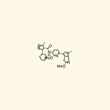 COc1cc2c(-c3ccc(NC(=O)c4c(-c5ccccc5)noc4C)c(OC)n3)cn(C)c2cn1